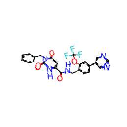 O=C(NCc1ccc(-c2cncnc2)cc1OC(F)(F)F)c1cc(=O)n(Cc2ccccc2)c(=O)[nH]1